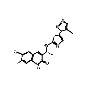 Cc1cnnn1-c1cnc(N[C@@H](C)c2cc3cc(Cl)c(F)cc3[nH]c2=O)s1